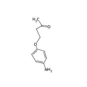 CC(=O)CCOc1ccc(N)cc1